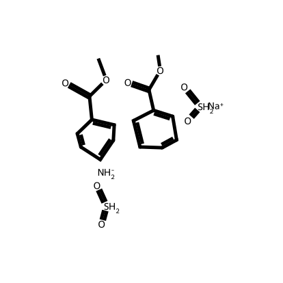 COC(=O)c1ccccc1.COC(=O)c1ccccc1.O=[SH2]=O.O=[SH2]=O.[NH2-].[Na+]